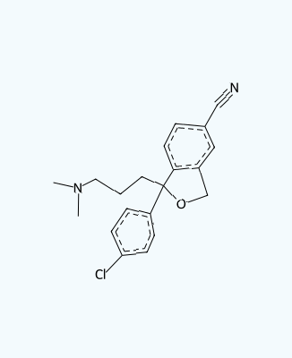 CN(C)CCCC1(c2ccc(Cl)cc2)OCc2cc(C#N)ccc21